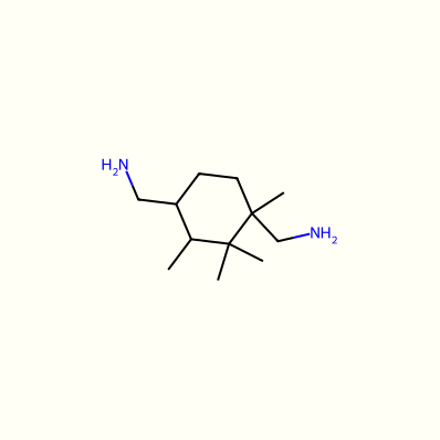 CC1C(CN)CCC(C)(CN)C1(C)C